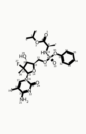 CC(C)OC(=O)[C@@H](C)N[P@@](=O)(OC[C@H]1O[C@@H](n2cc(I)c(N)nc2=O)[C@](C)(F)[C@@H]1O)Oc1ccccc1